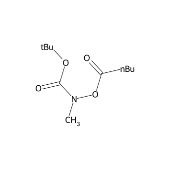 CCCCC(=O)ON(C)C(=O)OC(C)(C)C